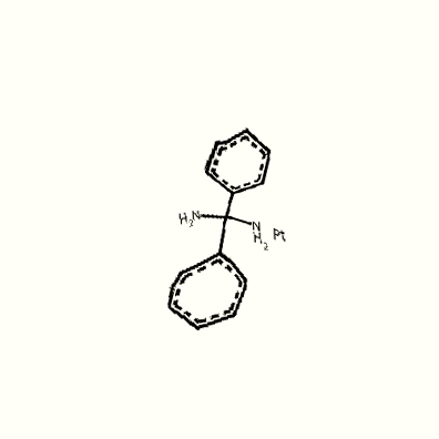 NC(N)(c1ccccc1)c1ccccc1.[Pt]